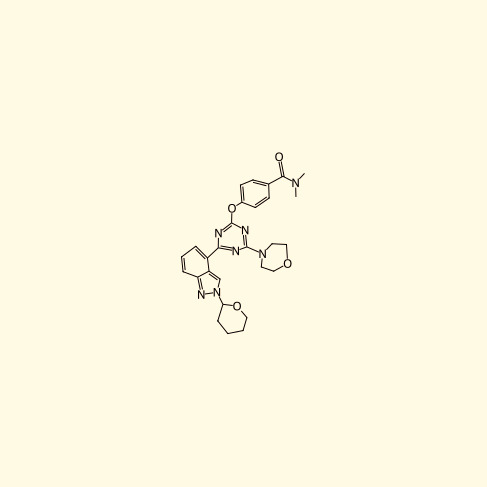 CN(C)C(=O)c1ccc(Oc2nc(-c3cccc4nn(C5CCCCO5)cc34)nc(N3CCOCC3)n2)cc1